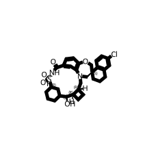 O=C1NS(=O)(=O)[C@@H]2CCCC(C2)[C@H](O)[C@@H]2CC[C@H]2CN2C[C@@]3(CCCc4cc(Cl)ccc43)COc3ccc1cc32